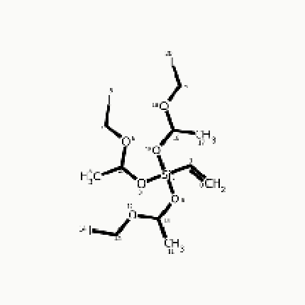 C=C[Si](OC(C)OCI)(OC(C)OCI)OC(C)OCI